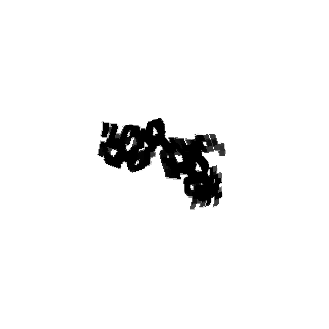 CCc1cc(C(F)(C(F)(F)F)C(F)(F)Cl)cc(Br)c1NC(=O)c1cccc(N(CC)C(=O)c2ccncc2)c1F